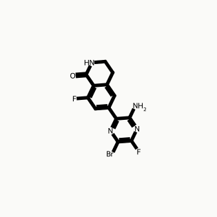 Nc1nc(F)c(Br)nc1-c1cc(F)c2c(c1)CCNC2=O